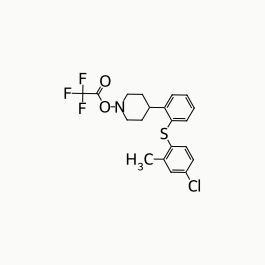 Cc1cc(Cl)ccc1Sc1ccccc1C1CCN(OC(=O)C(F)(F)F)CC1